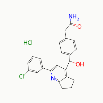 Cl.NC(=O)Cc1ccc(C(O)c2cc(-c3cccc(Cl)c3)nc3c2CCC3)cc1